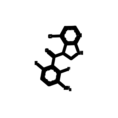 Nc1ccc(F)c(C(=O)C2CNc3nccc(Cl)c32)c1F